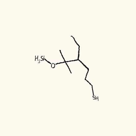 CCC(CCCS)C(C)(C)O[SiH3]